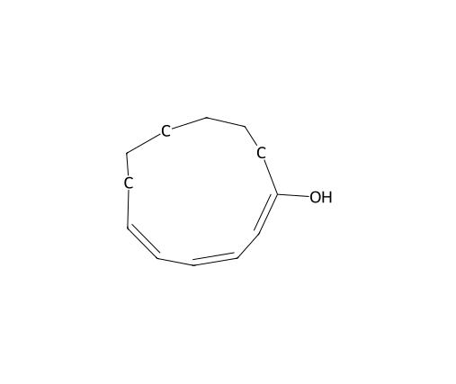 OC1=CC=CC=CCCCCCC1